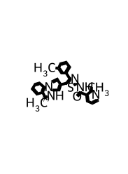 Cc1cccc(-c2nc(NC(=O)c3cccnc3C)sc2-c2ccnc(N[C@H](C)c3ccccc3)c2)c1